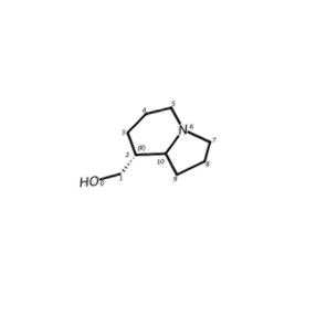 OC[C@@H]1CCCN2CCCC12